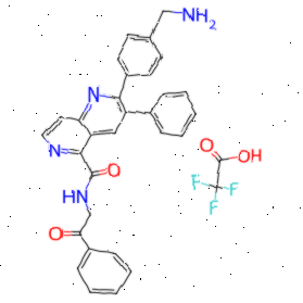 NCc1ccc(-c2nc3ccnc(C(=O)NCC(=O)c4ccccc4)c3cc2-c2ccccc2)cc1.O=C(O)C(F)(F)F